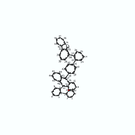 c1ccc(-c2ccccc2-c2c3ccccc3c(-c3ccc(-c4ccccc4-c4cccc5c4oc4ccccc45)cc3)c3ccccc23)cc1